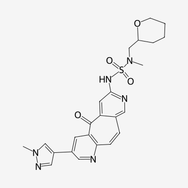 CN(CC1CCCCO1)S(=O)(=O)Nc1cc2c(=O)c3cc(-c4cnn(C)c4)cnc3ccc2cn1